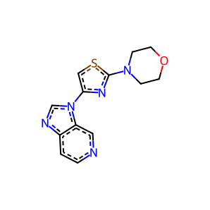 c1cc2ncn(-c3csc(N4CCOCC4)n3)c2cn1